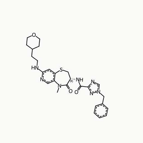 CN1C(=O)[C@@H](NC(=O)c2ncn(Cc3ccccc3)n2)CSc2cc(NCCC3CCOCC3)ncc21